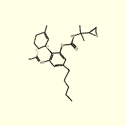 C=C(C)[C@@H]1CCC(C)=C[C@H]1c1c(O)cc(CCCCC)cc1OC(=O)NC(C)(C)C1CO1